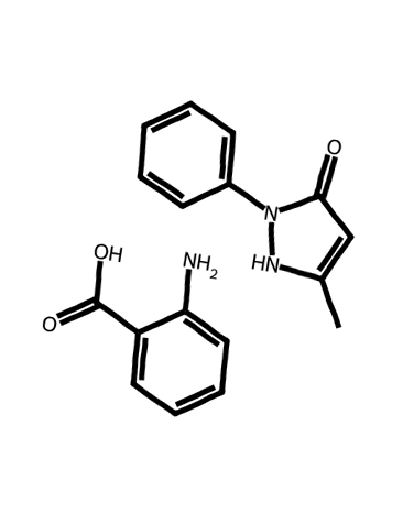 Cc1cc(=O)n(-c2ccccc2)[nH]1.Nc1ccccc1C(=O)O